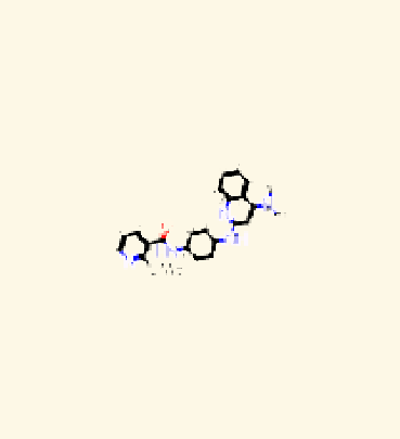 CSc1ncccc1C(=O)NC1CCC(Nc2cc(N(C)C)c3ccccc3n2)CC1